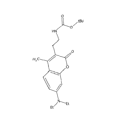 CCN(CC)c1ccc2c(C)c(CCNC(=O)OC(C)(C)C)c(=O)oc2c1